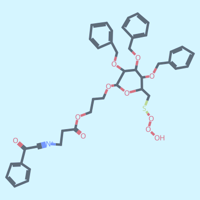 O=C(CC[N+]#CC(=O)c1ccccc1)OCCCOC1OC(CSOOO)C(OCc2ccccc2)C(OCc2ccccc2)C1OCc1ccccc1